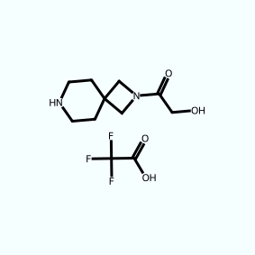 O=C(CO)N1CC2(CCNCC2)C1.O=C(O)C(F)(F)F